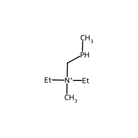 CC[N+](C)(CC)CPC